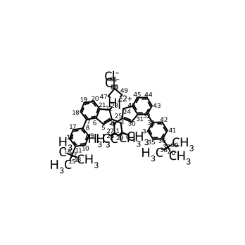 CC(C)CC1=Cc2c(-c3ccc(C(C)(C)C)cc3)cccc2[CH]1[Hf+2]1([CH]2C(CC(C)C)=Cc3c(-c4ccc(C(C)(C)C)cc4)cccc32)[CH2]C[CH2]1.[Cl-].[Cl-]